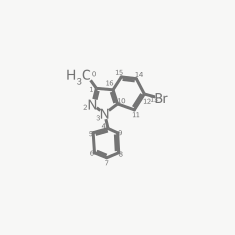 Cc1nn(-c2ccccc2)c2cc(Br)ccc12